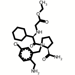 CCOC(=O)CN[C@@H](C(=O)[N+]1(Cc2cc(Cl)ccc2CN)CCC[C@H]1C(N)=O)C1CCCCC1